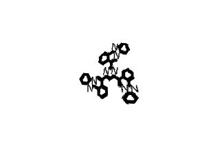 c1ccc2c(c1)nc1c3ccccc3c(-c3cc(-c4cn5c6ccccc6nc5c5ccccc45)nc(-c4cn5c6ccccc6nc5c5ccccc45)n3)cn21